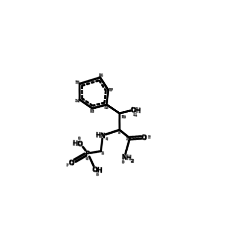 NC(=O)C(NCP(=O)(O)O)C(O)c1ccccc1